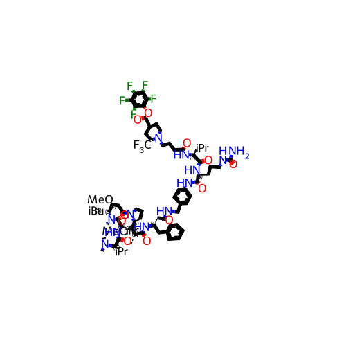 CC[C@H](C)[C@@H]([C@@H](CC(=O)N1CCC[C@H]1[C@H](OC)[C@@H](C)C(=O)N[C@H](CC(=O)NCc1ccc(NC(=O)[C@H](CCCNC(N)=O)NC(=O)[C@@H](NC(=O)CCCN2CCC(C(=O)Oc3c(F)c(F)c(F)c(F)c3F)CC2C(F)(F)F)C(C)C)cc1)Cc1ccccc1)OC)N(C)C(=O)[C@@H](NC(=O)[C@H](C(C)C)N(C)C)C(C)C